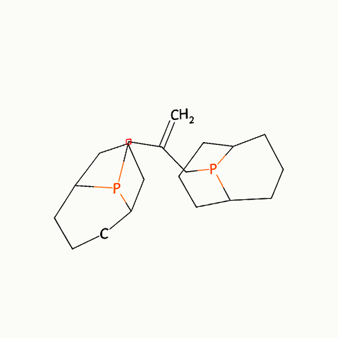 C=C(CP1C2CCCC1CCC2)CP1C2CCCC1CCC2